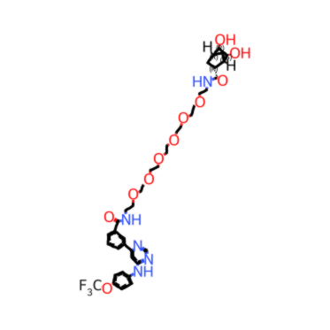 O=C(NCCOCCOCCOCCOCCOCCOCCNC(=O)[C@@H]1C[C@H]2C[C@@H]1[C@H](O)[C@@H]2O)c1cccc(-c2cc(Nc3ccc(OC(F)(F)F)cc3)ncn2)c1